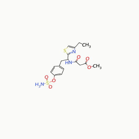 CCc1csc(C(Cc2ccc(OS(N)(=O)=O)cc2)NC(=O)CC(=O)OC)n1